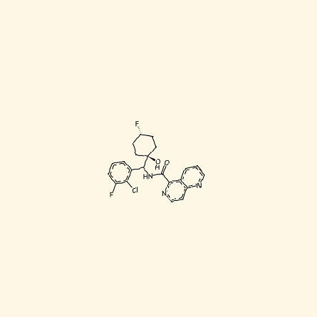 O=C(NC(c1cccc(F)c1Cl)[C@]1(O)CC[C@H](F)CC1)c1nccc2ncccc12